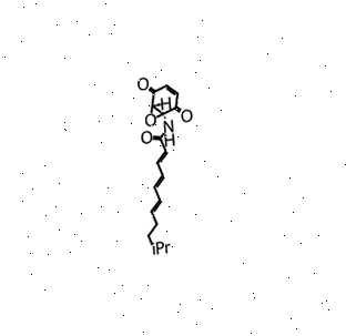 CC(C)CCC=CC=CC=CC(=O)N[C@]12O[C@@H]1C(=O)C=CC2=O